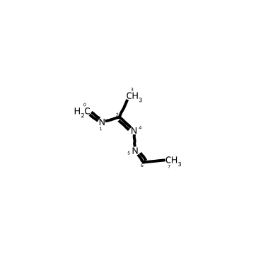 C=N/C(C)=N\N=C/C